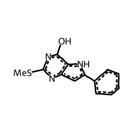 CSc1nc(O)c2[nH]c(-c3ccccc3)cc2n1